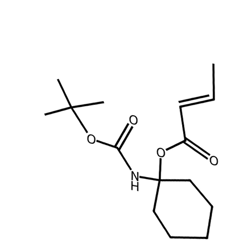 CC=CC(=O)OC1(NC(=O)OC(C)(C)C)CCCCC1